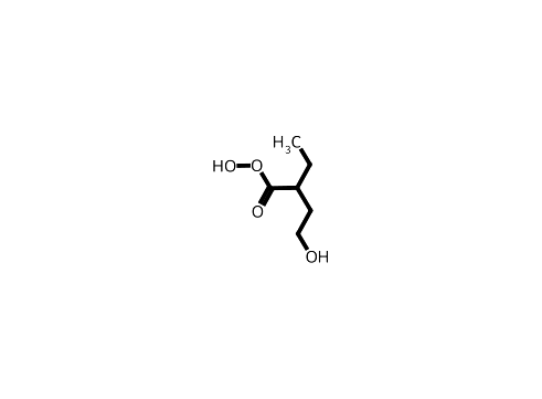 CCC(CCO)C(=O)OO